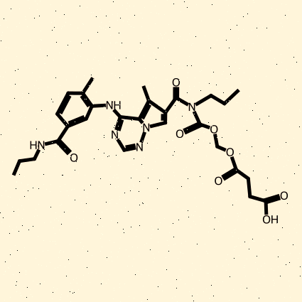 CCCNC(=O)c1ccc(C)c(Nc2ncnn3cc(C(=O)N(CCC)C(=O)OCOC(=O)CCC(=O)O)c(C)c23)c1